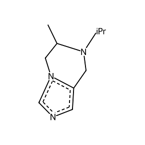 CC(C)N1Cc2cncn2CC1C